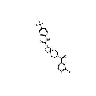 Cc1ccc(C(=O)N2CCC3(CCN(C(=O)Nc4ccc(C(F)(F)F)cc4)C3)CC2)cc1F